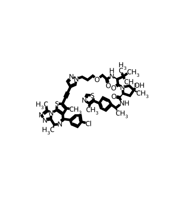 Cc1ncsc1-c1ccc([C@H](C)NC(=O)[C@@H]2C[C@@](C)(O)CN2C(=O)[C@@H](NC(=O)COCCCn2cc(C#Cc3sc4c(c3C)C(c3ccc(Cl)cc3)=N[C@@H](C)c3nnc(C)n3-4)cn2)C(C)(C)C)cc1